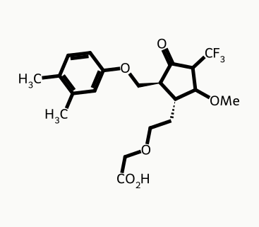 COC1C(C(F)(F)F)C(=O)[C@H](COc2ccc(C)c(C)c2)[C@H]1CCOCC(=O)O